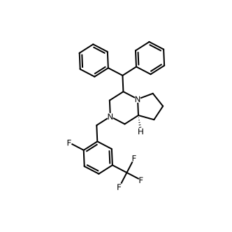 Fc1ccc(C(F)(F)F)cc1CN1CC(C(c2ccccc2)c2ccccc2)N2CCC[C@H]2C1